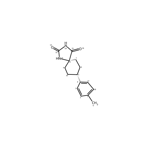 Cc1ccc([C@H]2CC[C@]3(CC2)NC(=O)NC3=O)cc1